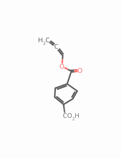 C=C=COC(=O)c1ccc(C(=O)O)cc1